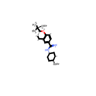 CN[C@H]1CC[C@H](NC(=N)c2ccc3c(c2)CC[C@H]([C@](C)(OC)C(C)(C)C)O3)CC1